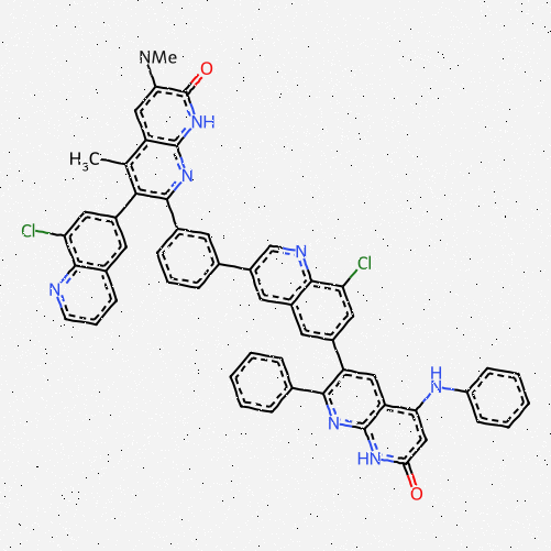 CNc1cc2c(C)c(-c3cc(Cl)c4ncccc4c3)c(-c3cccc(-c4cnc5c(Cl)cc(-c6cc7c(Nc8ccccc8)cc(=O)[nH]c7nc6-c6ccccc6)cc5c4)c3)nc2[nH]c1=O